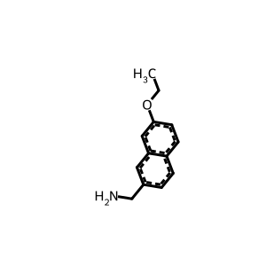 CCOc1ccc2ccc(CN)cc2c1